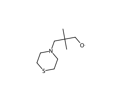 CC(C)(C[O])CN1CCSCC1